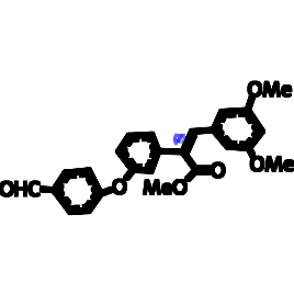 COC(=O)/C(=C\c1cc(OC)cc(OC)c1)c1cccc(Oc2ccc(C=O)cc2)c1